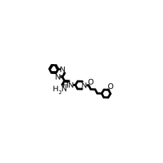 NC/C(=C\NC1CCN(C(=O)CCCC2CCCC(=O)C2)CC1)c1cnc2ccccc2n1